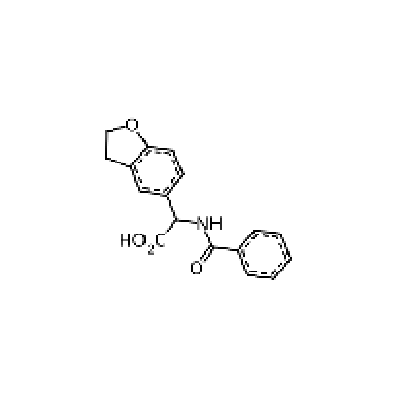 O=C(NC(C(=O)O)c1ccc2c(c1)CCO2)c1ccccc1